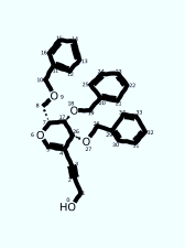 OCC#CC1=CO[C@H](COCc2ccccc2)[C@H](OCc2ccccc2)[C@@H]1OCc1ccccc1